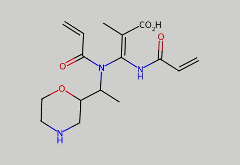 C=CC(=O)NC(=C(C)C(=O)O)N(C(=O)C=C)C(C)C1CNCCO1